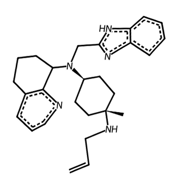 C=CCN[C@]1(C)CC[C@@H](N(Cc2nc3ccccc3[nH]2)C2CCCc3cccnc32)CC1